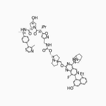 CCc1cccc2cc(O)cc(-c3ncc4c(N5CC6CCC(C5)N6)nc(OC[C@@]56CCCN5[C@H](COC(=O)NCc5cc([C@H](C(=O)N7C[C@H](O)C[C@H]7C(=O)N[C@@H](C)c7ccc(-c8scnc8C)cc7)C(C)C)on5)CC6)nc4c3F)c12